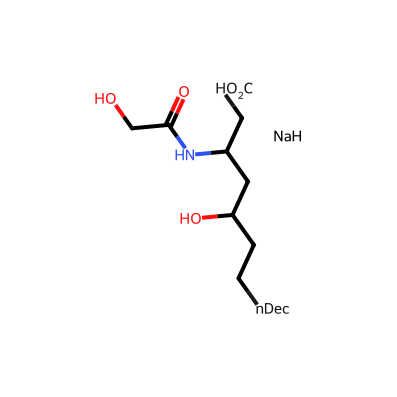 CCCCCCCCCCCCC(O)CC(CC(=O)O)NC(=O)CO.[NaH]